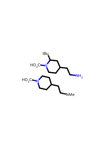 CC(C)(C)C1CC(CCN)CCN1C(=O)O.CNCCC1CCN(C(=O)O)CC1